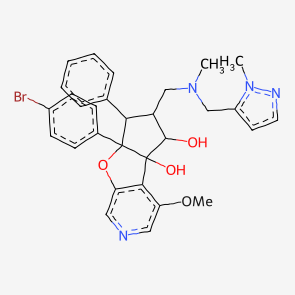 COc1cncc2c1C1(O)C(O)C(CN(C)Cc3ccnn3C)C(c3ccccc3)C1(c1ccc(Br)cc1)O2